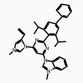 C=Cc1c[n+](C)cn1-c1cc(-n2c[n+](C)c3ccccc32)nc(-c2c(C(C)C)cc(-c3ccccc3)cc2C(C)C)n1